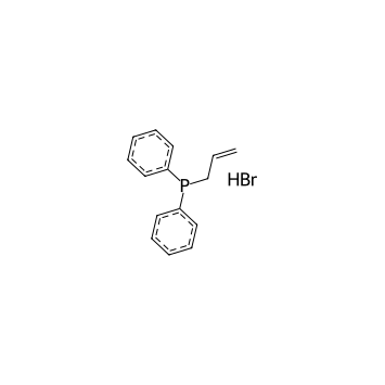 Br.C=CCP(c1ccccc1)c1ccccc1